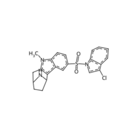 Cn1c2c(c3cc(S(=O)(=O)n4cc(Cl)c5ccccc54)ccc31)C1CCC(C2)N1